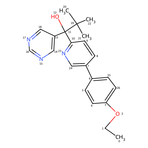 CCOc1ccc(-c2ccc(C(O)(c3cncnc3)C(C)(C)C)nc2)cc1